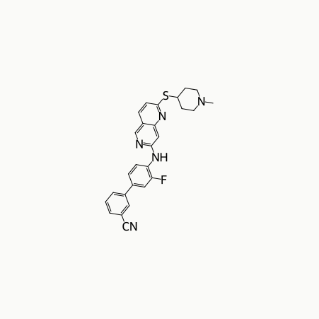 CN1CCC(Sc2ccc3cnc(Nc4ccc(-c5cccc(C#N)c5)cc4F)cc3n2)CC1